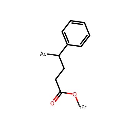 CCCOC(=O)CCC(C(C)=O)c1ccccc1